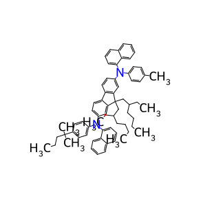 CCCCC(CC)CC1(CC(CC)CCCC)c2cc(N(c3ccc(C)cc3)c3cccc4ccccc34)ccc2-c2ccc(N(c3ccc(C(C)(C)CCC)cc3)c3cccc4ccccc34)cc21